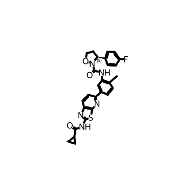 Cc1ccc(-c2ccc3nc(NC(=O)C4CC4)sc3n2)cc1NC(=O)N1OCC[C@H]1c1ccc(F)cc1